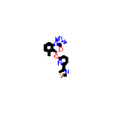 Cc1cccc(-n2nnn(C)c2=O)c1COc1cccc(-c2cscn2)n1